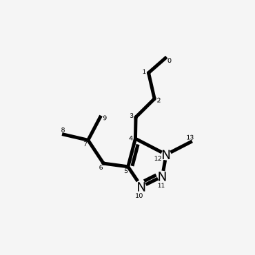 CCCCc1c(CC(C)C)nnn1C